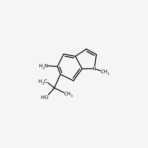 Cn1ccc2cc(N)c(C(C)(C)O)cc21